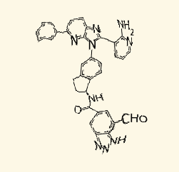 Nc1ncccc1-c1nc2ccc(-c3ccccc3)nc2n1-c1ccc2c(c1)CC[C@@H]2NC(=O)c1cc(C=O)c2[nH]nnc2c1